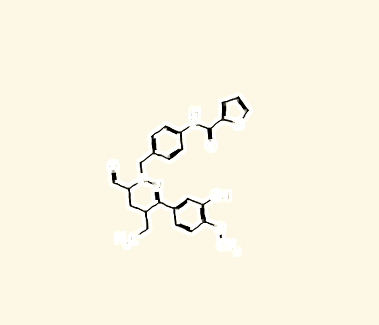 CCC1CC(C=O)N(Cc2ccc(NC(=O)c3ccco3)cc2)N=C1c1ccc(OC)c(O)c1